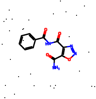 NC(=O)c1onnc1C(=O)NC(=O)c1ccccc1